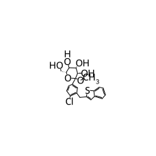 CO[C@@]1(c2ccc(Cl)c(Cc3cc4ccccc4s3)c2)O[C@H](CO)[C@@H](O)[C@H](O)[C@H]1O